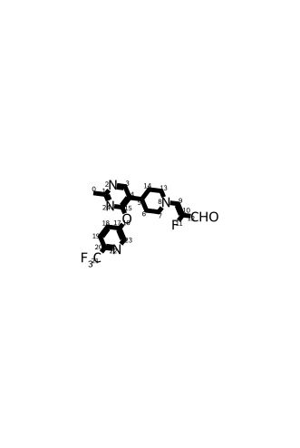 Cc1ncc(C2CCN(C=C(F)C=O)CC2)c(Oc2ccc(C(F)(F)F)nc2)n1